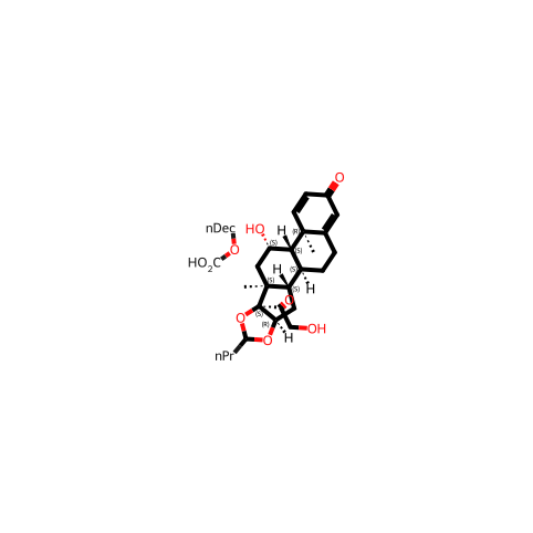 CCCC1O[C@@H]2C[C@H]3[C@@H]4CCC5=CC(=O)C=C[C@]5(C)[C@H]4[C@@H](O)C[C@]3(C)[C@]2(C(=O)CO)O1.CCCCCCCCCCOC(=O)O